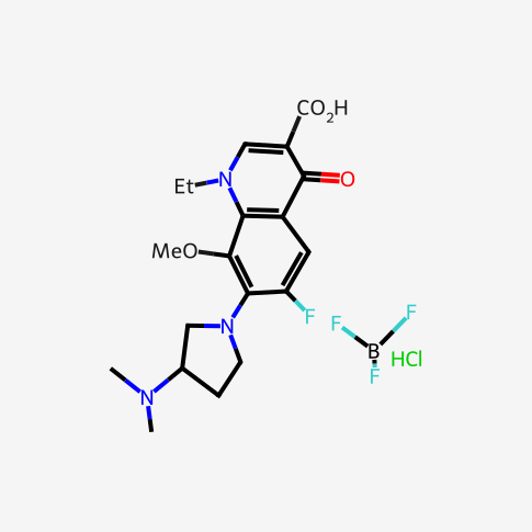 CCn1cc(C(=O)O)c(=O)c2cc(F)c(N3CCC(N(C)C)C3)c(OC)c21.Cl.FB(F)F